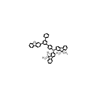 CC1(C)c2ccccc2-c2ccc(N(c3ccc(-c4cc(-c5ccccc5)cc(-c5ccc6c(c5)oc5ccccc56)c4)cc3)c3ccc4c(c3)C(C)(C)c3ccccc3-4)cc21